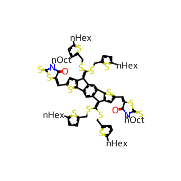 CCCCCCCCN1C(=O)/C(=C\c2cc3c(s2)-c2cc4c(cc2C3=C(SCc2ccc(CCCCCC)s2)SCc2ccc(CCCCCC)s2)-c2sc(/C=C3/SC(=S)N(CCCCCCCC)C3=O)cc2C4=C(SCc2ccc(CCCCCC)s2)SCc2ccc(CCCCCC)s2)SC1=S